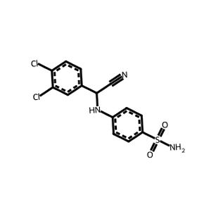 N#CC(Nc1ccc(S(N)(=O)=O)cc1)c1ccc(Cl)c(Cl)c1